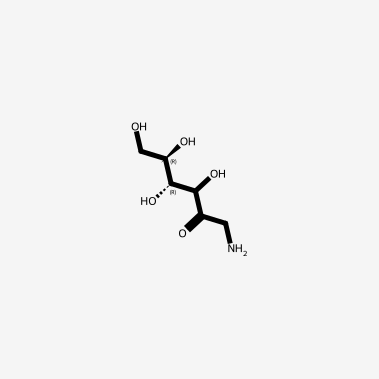 NCC(=O)C(O)[C@H](O)[C@H](O)CO